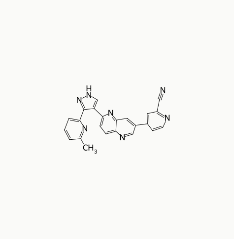 Cc1cccc(-c2n[nH]cc2-c2ccc3ncc(-c4ccnc(C#N)c4)cc3n2)n1